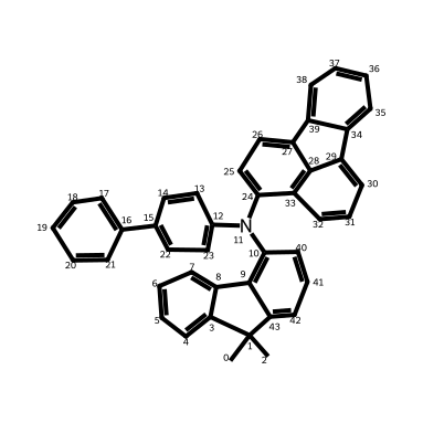 CC1(C)c2ccccc2-c2c(N(c3ccc(-c4ccccc4)cc3)c3ccc4c5c(cccc35)-c3ccccc3-4)cccc21